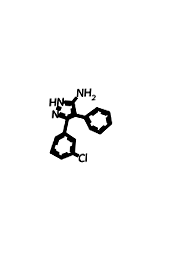 Nc1[nH]nc(-c2cccc(Cl)c2)c1-c1ccccc1